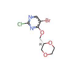 Clc1ncc(Br)c(OC[C@H]2COCCO2)n1